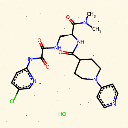 CN(C)C(=O)[C@H](CNC(=O)C(=O)Nc1ccc(Cl)cn1)NC(=O)C1CCN(c2ccncc2)CC1.Cl